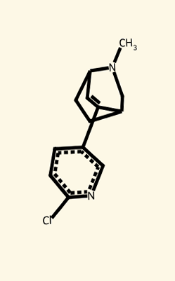 CN1CC2CCC1C=C2c1ccc(Cl)nc1